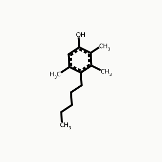 CCCCCc1c(C)cc(O)c(C)c1C